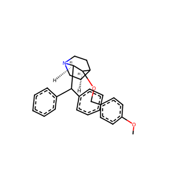 COc1ccc(CO[C@@H]2C3CCN(CC3)[C@@H]2C(c2ccccc2)c2ccccc2)cc1